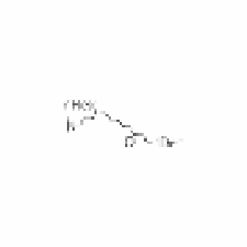 CCCCCCCCCCCCC(=O)CCCCCC(CCCCCC)CCCN(C)C